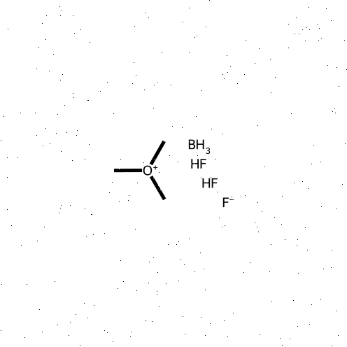 B.C[O+](C)C.F.F.[F-]